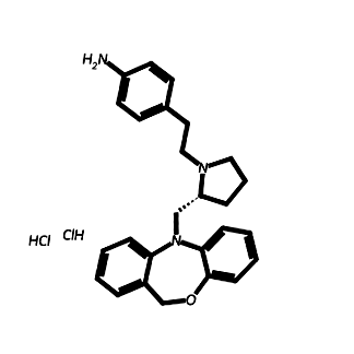 Cl.Cl.Nc1ccc(CCN2CCC[C@@H]2CN2c3ccccc3COc3ccccc32)cc1